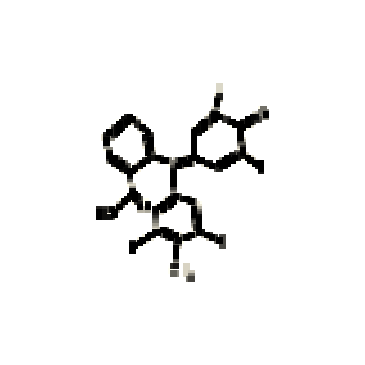 Cc1c(I)cc(C(=C2C=C(I)C(=O)C(I)=C2)c2ccccc2C(=O)O)cc1I